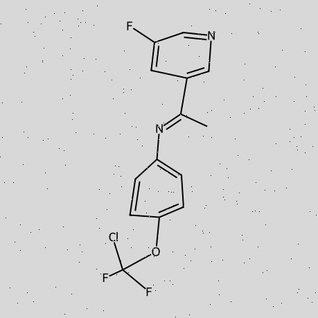 C/C(=N\c1ccc(OC(F)(F)Cl)cc1)c1cncc(F)c1